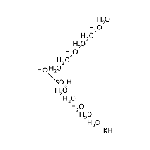 O.O.O.O.O.O.O.O.O.O.O.O.O=S(=O)(O)O.[KH]